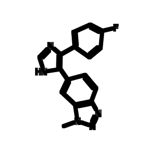 Cn1nnc2ccc(-c3[nH]cnc3-c3ccc(F)cc3)cc21